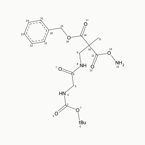 CC(C)(C)OC(=O)NCC(=O)NCC(C)(C(=O)ON)C(=O)OCc1ccccc1